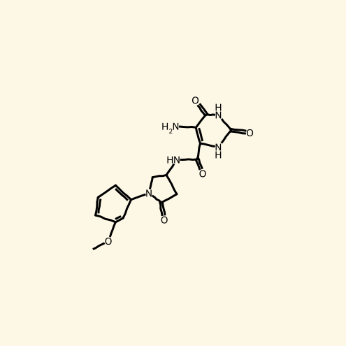 COc1cccc(N2CC(NC(=O)c3[nH]c(=O)[nH]c(=O)c3N)CC2=O)c1